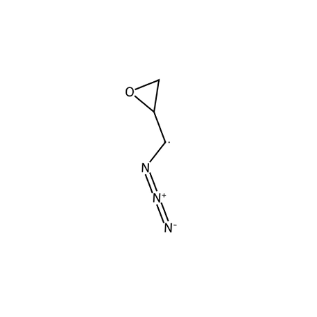 [N-]=[N+]=N[CH]C1CO1